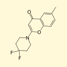 Cc1ccc2oc(N3CCC(F)(F)CC3)cc(=O)c2c1